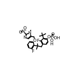 Cn1c(COc2cccc(F)c2C(C)(C)Cc2ccc(OP(=O)(O)O)c(C(C)(C)C)c2F)cnc1[N+](=O)[O-]